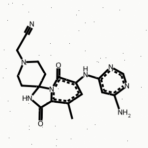 Cc1cc(Nc2cc(N)ncn2)c(=O)n2c1C(=O)NC21CCN(CC#N)CC1